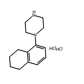 Cl.Cl.c1cc2c(c(N3CCNCC3)c1)CCCC2